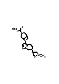 Cn1cc(-c2ccc3c(N4CC5CC4CN(C(=O)OC(C)(C)C)C5)cnn3c2)cn1